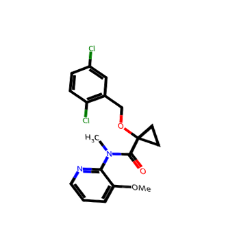 COc1cccnc1N(C)C(=O)C1(OCc2cc(Cl)ccc2Cl)CC1